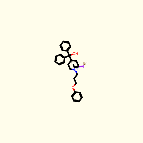 OC(c1ccccc1)(c1ccccc1)C12CC[N+](CCCOc3ccccc3)(CC1)C(I)C2.[Br-]